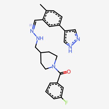 Cc1ccc(-c2cn[nH]c2)cc1/C=N\NCC1CCN(C(=O)c2cccc(F)c2)CC1